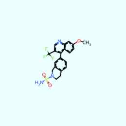 COc1ccc2c(-c3ccc4c(c3)CN(S(N)(=O)=O)CC4)c(C(F)(F)F)cnc2c1